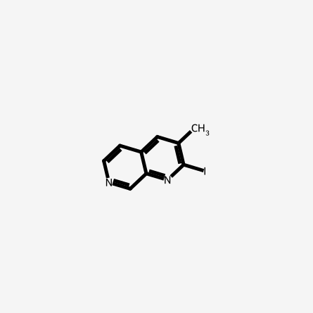 Cc1cc2ccncc2nc1I